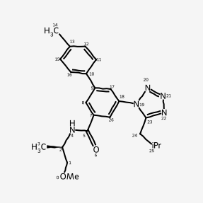 COC[C@@H](C)NC(=O)c1cc(-c2ccc(C)cc2)cc(-n2nnnc2CC(C)C)c1